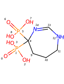 O=P(O)(O)C1(P(=O)(O)O)CCCNC=N1